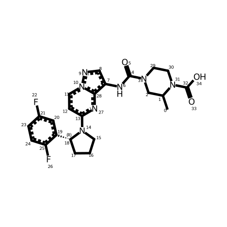 CC1CN(C(=O)Nc2cnn3ccc(N4CCC[C@@H]4c4cc(F)ccc4F)nc23)CCN1C(=O)O